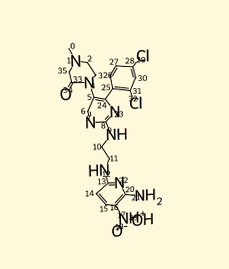 CN1CCN(c2cnc(NCCNc3ccc([NH+]([O-])O)c(N)n3)nc2-c2ccc(Cl)cc2Cl)C(=O)C1